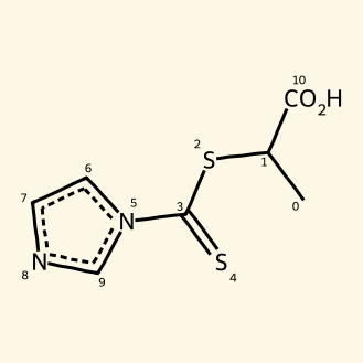 CC(SC(=S)n1ccnc1)C(=O)O